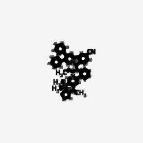 C=CCC(c1ccccc1-c1cc(C(C)C2CCCC2)c([Si](C)(C)C)cn1)C1c2ccc(C#N)cc2-c2cc(-c3ccccc3)c(-c3ccccc3)c[n+]21